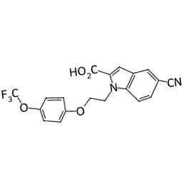 N#Cc1ccc2c(c1)cc(C(=O)O)n2CCOc1ccc(OC(F)(F)F)cc1